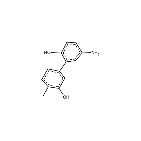 Cc1ccc(-c2cc(N)ccc2O)cc1O